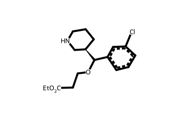 CCOC(=O)CCOC(c1cccc(Cl)c1)[C@@H]1CCCNC1